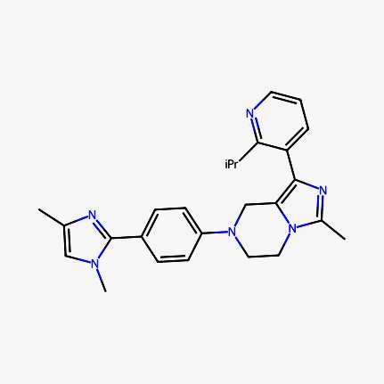 Cc1cn(C)c(-c2ccc(N3CCn4c(C)nc(-c5cccnc5C(C)C)c4C3)cc2)n1